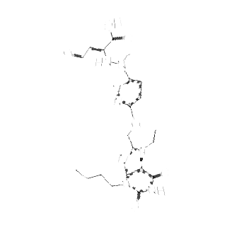 CCCCn1c(=O)[nH]c(=O)c2c1nc(COc1ccc(N(C)N/C(=C\C=O)C(=O)O)nn1)n2CC